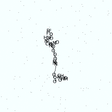 Cc1ncc(NC(=O)c2cccc(C(F)(F)F)c2)cc1-c1cnc(OCCOCCOCCOCc2cn(CCCCCCCOc3ccc(C=O)c(CN(C)C4CCC(=O)NC4=O)c3)nn2)c(N2CCOCC2)c1